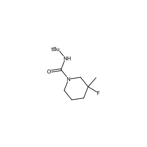 CC1(F)CCCN(C(=O)NC(C)(C)C)C1